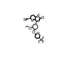 CCO[C@@H]1CN(c2cc(=O)n(C)c3ccc(C#N)nc23)CC[C@H]1Oc1ccc(C(F)(F)F)cn1